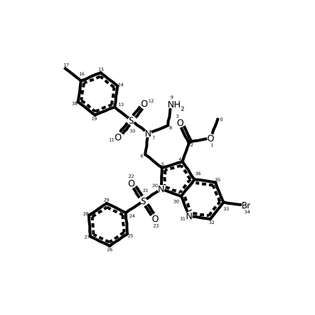 COC(=O)c1c(CN(CN)S(=O)(=O)c2ccc(C)cc2)n(S(=O)(=O)c2ccccc2)c2ncc(Br)cc12